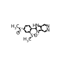 C[S+]([O-])c1ccc(-c2nc3cnncc3[nH]2)c([S+](C)[O-])c1